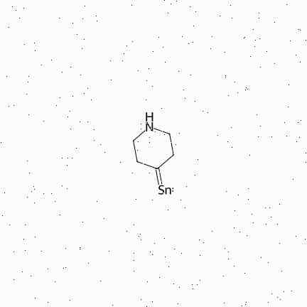 [Sn]=[C]1CCNCC1